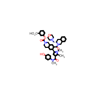 Cc1c(C(=O)N(C)c2ccc(O)cc2)cc(-c2cc3c(cc2C(=O)N2Cc4ccccc4C[C@H]2CN2CCOCC2)CN(C(=O)Oc2cccc(C(=O)O)c2)CC3)n1C